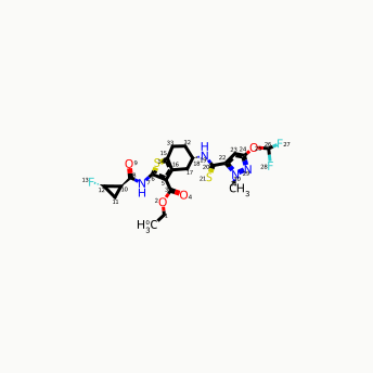 CCOC(=O)c1c(NC(=O)[C@H]2C[C@@H]2F)sc2c1C[C@@H](NC(=S)c1cc(OC(F)F)nn1C)CC2